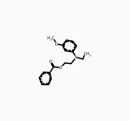 CCN(CCOC(=O)c1ccccc1)c1cccc(OC)c1